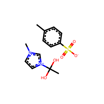 Cc1ccc(S(=O)(=O)[O-])cc1.Cn1cc[n+](C(C)(O)O)c1